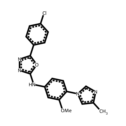 COc1cc(Nc2nnc(-c3ccc(Cl)cc3)o2)ccc1-n1cnc(C)c1